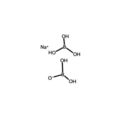 OB(O)O.[Na+].[O-]B(O)O